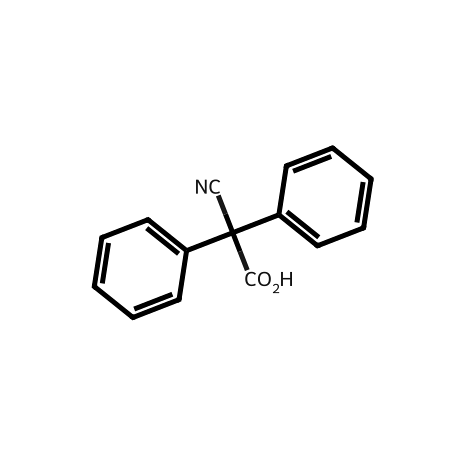 N#CC(C(=O)O)(c1ccccc1)c1ccccc1